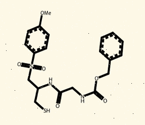 COc1ccc(S(=O)(=O)CC(CS)NC(=O)CNC(=O)OCc2ccccc2)cc1